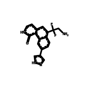 NCC(F)(F)c1cc2cc[nH]c(=O)c2c2cc(-c3cn[nH]c3)ccc12